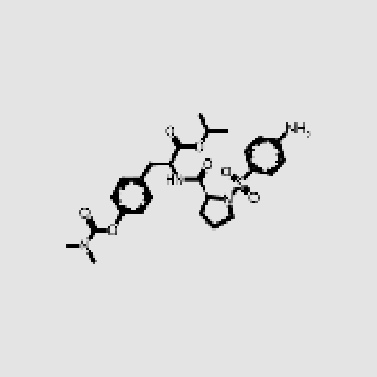 CC(C)OC(=O)[C@H](Cc1ccc(OC(=O)N(C)C)cc1)NC(=O)[C@@H]1CCCN1S(=O)(=O)c1ccc(N)cc1